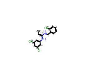 O=[N+]([O-])/C=C(\NCc1ccccc1Cl)Nc1cc(Cl)cc(Cl)c1